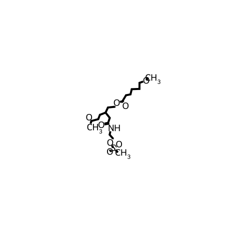 COCCCCCC(=O)OCCC(CCC(C)=O)CC(=O)NCCOS(C)(=O)=O